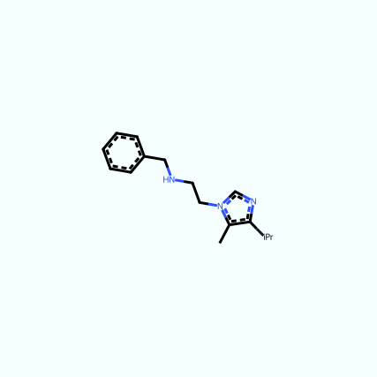 Cc1c(C(C)C)ncn1CCNCc1ccccc1